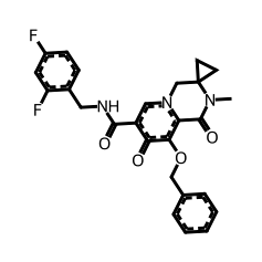 CN1C(=O)c2c(OCc3ccccc3)c(=O)c(C(=O)NCc3ccc(F)cc3F)cn2CC12CC2